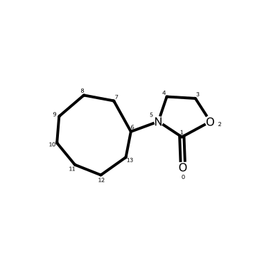 O=C1OCCN1C1CCCCCCC1